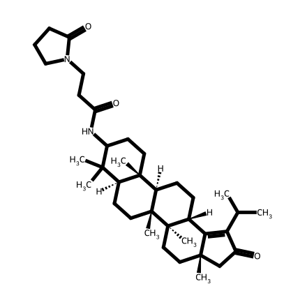 CC(C)C1=C2[C@H]3CC[C@@H]4[C@@]5(C)CCC(NC(=O)CCN6CCCC6=O)C(C)(C)[C@@H]5CC[C@@]4(C)[C@]3(C)CC[C@@]2(C)CC1=O